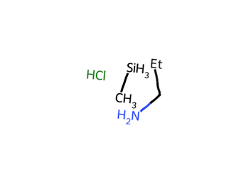 CCCN.C[SiH3].Cl